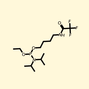 CCOP(OCCCCNC(=O)C(F)(F)F)N(C(C)C)C(C)C